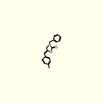 Cc1ccc(C=C2CN(Cc3ccccc3)C(=O)O2)cc1